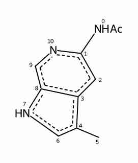 CC(=O)Nc1cc2c(C)c[nH]c2cn1